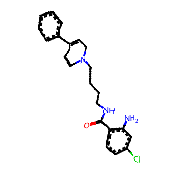 Nc1cc(Cl)ccc1C(=O)NCCCCN1CC=C(c2ccccc2)CC1